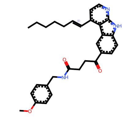 CCCCC/C=C/c1ccnc2[nH]c3ccc(C(=O)CCC(=O)NCc4ccc(OC)cc4)cc3c12